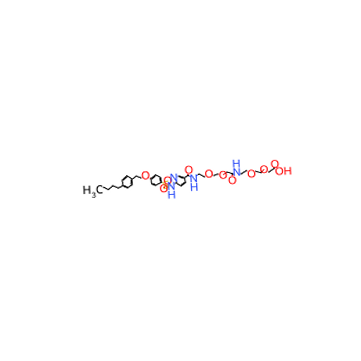 CCCCCc1ccc(CCOc2ccc(S(=O)(=O)Nc3ccc(C(=O)NCCOCCOCC(=O)NCCOCCOCC(=O)O)cn3)cc2)cc1